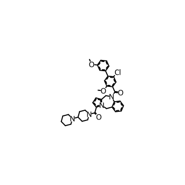 COc1cccc(-c2cc(OC)c(C(=O)N3Cc4ccc(C(=O)N5CCC(N6CCCCC6)CC5)n4Cc4ccccc43)cc2Cl)c1